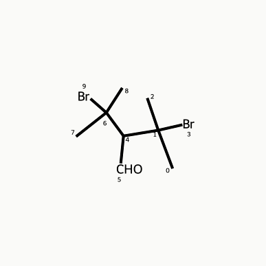 CC(C)(Br)C(C=O)C(C)(C)Br